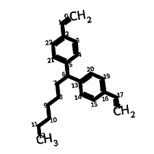 C=Cc1ccc(C(CCCCCC)c2ccc(C=C)cc2)cc1